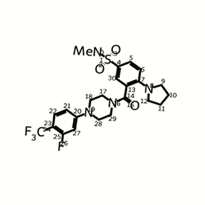 CNS(=O)(=O)c1ccc(N2CCCC2)c(C(=O)N2CCN(c3ccc(C(F)(F)F)c(F)c3)CC2)c1